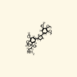 COc1cc(C2CCC(c3cc(OC)c(OC)c(S(=O)(=O)CCN)c3)S2)cc(OC)c1OC